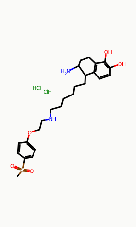 CS(=O)(=O)c1ccc(OCCNCCCCCCC2c3ccc(O)c(O)c3CCC2N)cc1.Cl.Cl